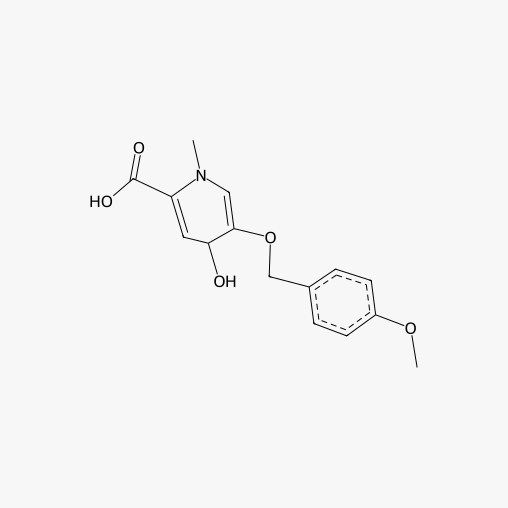 COc1ccc(COC2=CN(C)C(C(=O)O)=CC2O)cc1